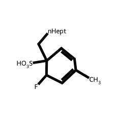 CCCCCCCCC1(S(=O)(=O)O)C=CC(C)=CC1F